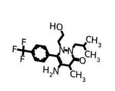 CC(C)CN1C(=O)C(C)C(N)=C(c2ccc(C(F)(F)F)cc2)N1CCO